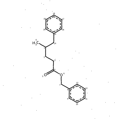 CC(CCC(=O)OCc1ccccc1)Cc1ccccc1